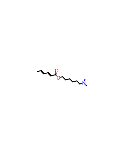 CC=CC=CC(=O)OCCCCCCN(C)C